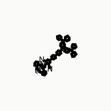 N#Cc1ccccc1-c1cc(-c2c(C#N)cc(-c3ccc(-c4ccc(-n5c6ccc(N(c7ccccc7)c7ccccc7)cc6c6cc(N(c7ccccc7)c7ccccc7)ccc65)cc4)cc3)cc2C#N)nc(-c2ccccc2C#N)n1